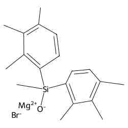 Cc1ccc([Si](C)([O-])c2ccc(C)c(C)c2C)c(C)c1C.[Br-].[Mg+2]